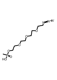 CP(=O)(O)OCCOCCOCCOCCN=[N+]=[N-]